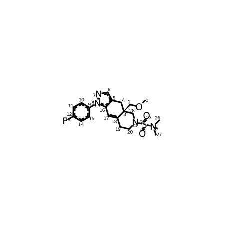 COC[C@]12Cc3cnn(-c4ccc(F)cc4)c3C=C1CCN(S(=O)(=O)N(C)C)C2